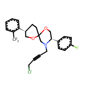 Fc1ccc([C@H]2COC3(CC[C@@H](c4ccccc4C(F)(F)F)CO3)CN2CC#CCCl)cc1